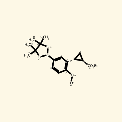 CCOC(=O)[C@@H]1C[C@H]1c1cc(B2OC(C)(C)C(C)(C)O2)ccc1OCC